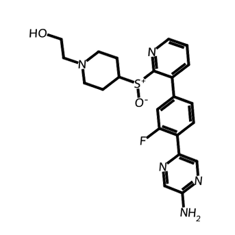 Nc1cnc(-c2ccc(-c3cccnc3[S+]([O-])C3CCN(CCO)CC3)cc2F)cn1